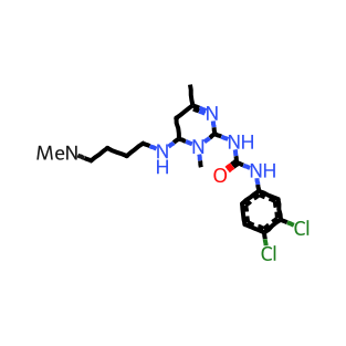 CNCCCCNC1CC(C)=NC(NC(=O)Nc2ccc(Cl)c(Cl)c2)N1C